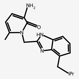 Cc1ccc(N)c(=O)n1Cc1nc2c(CC(C)C)cccc2[nH]1